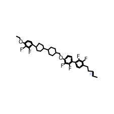 C/C=C/CCc1ccc(-c2ccc(OCC3CCC(C4CCC(c5ccc(OCC)c(F)c5F)CC4)CC3)c(F)c2F)c(F)c1F